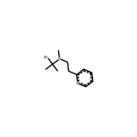 CC(C)C(C)(C)N(C)CCc1ccccn1